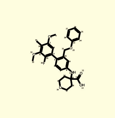 COc1cc(-c2ccc(NC3(C(=O)O)CCOCC3)cc2COc2ccccc2)c(F)c(OC)c1C